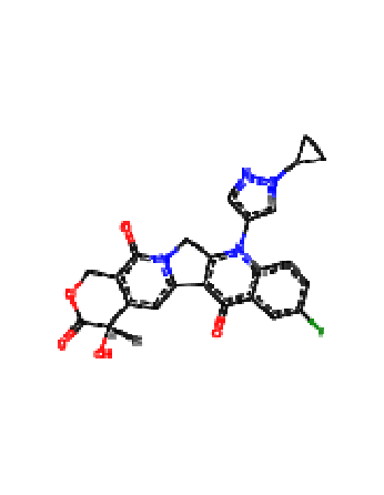 CC[C@@]1(O)C(=O)OCc2c1cc1n(c2=O)Cc2c-1c(=O)c1cc(F)ccc1n2-c1cnn(C2CC2)c1